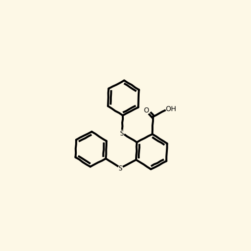 O=C(O)c1cccc(Sc2ccccc2)c1Sc1ccccc1